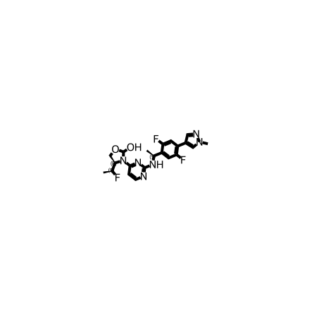 C[C@H](Nc1nccc(N2C(O)OC[C@@H]2[C@H](C)F)n1)c1cc(F)c(-c2cnn(C)c2)cc1F